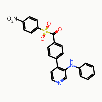 O=C(c1ccc(-c2ccncc2Nc2ccccc2)cc1)S(=O)(=O)c1ccc([N+](=O)[O-])cc1